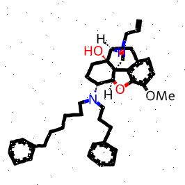 C=CCN1CC[C@]23c4c5ccc(OC)c4O[C@H]2[C@H](N(CCCCCCc2ccccc2)CCCc2ccccc2)CC[C@@]3(O)[C@H]1C5